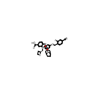 N#Cc1ccc(COc2cccc(N3C4CCC3CN(Cc3nc5ccc(C(=O)O)cc5n3C[C@@H]3CCO3)C4)c2)c(F)c1